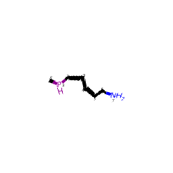 CP/C=C\C=C/CN